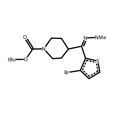 CNN=C(c1sccc1Br)C1CCN(C(=O)OC(C)(C)C)CC1